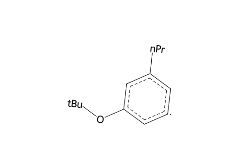 CCCc1c[c]cc(OC(C)(C)C)c1